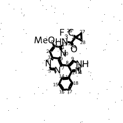 COc1cc2ncnc(-c3c[nH]nc3-c3ccccc3)c2nc1NC(=O)C1(C(F)(F)F)CC1